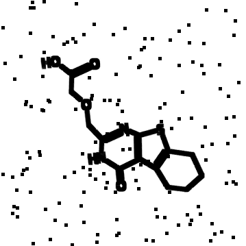 O=C(O)COCc1nc2sc3c(c2c(=O)[nH]1)CCCC3